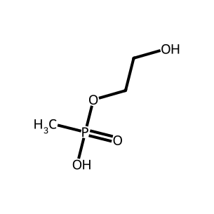 CP(=O)(O)OCCO